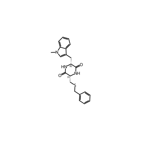 Cn1cc(C[C@H]2NC(=O)[C@@H](CSCc3ccccc3)NC2=O)c2ccccc21